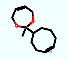 C[Si]1(C2CC/C=C\CCC2)OCC=CCO1